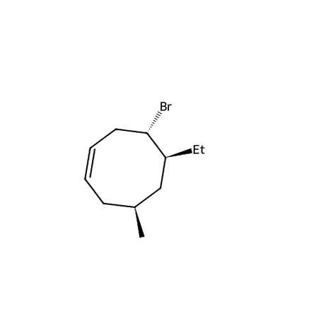 CC[C@H]1C[C@@H](C)C/C=C\C[C@@H]1Br